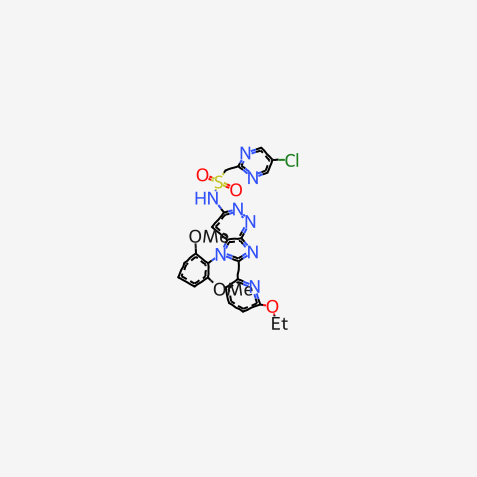 CCOc1cccc(-c2nc3nnc(NS(=O)(=O)Cc4ncc(Cl)cn4)cc3n2-c2c(OC)cccc2OC)n1